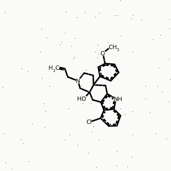 C=CCN1CCC2(c3cccc(OC)c3)Cc3[nH]c4cccc(Cl)c4c3CC2(O)C1